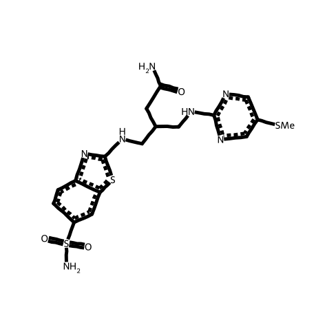 CSc1cnc(NCC(CNc2nc3ccc(S(N)(=O)=O)cc3s2)CC(N)=O)nc1